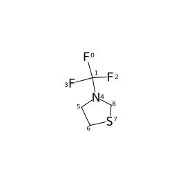 FC(F)(F)N1CCSC1